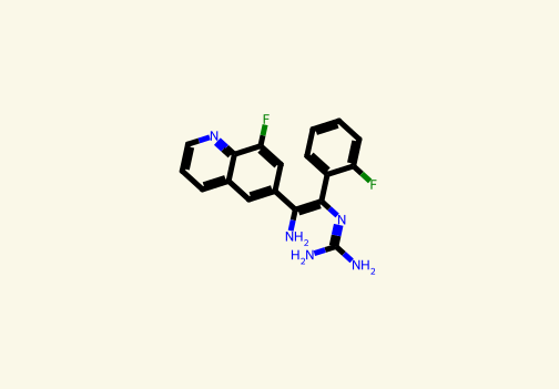 NC(N)=N/C(=C(\N)c1cc(F)c2ncccc2c1)c1ccccc1F